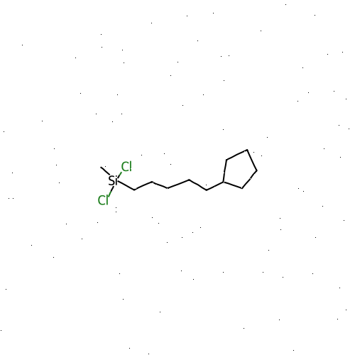 C[Si](Cl)(Cl)CCCCCC1CCCC1